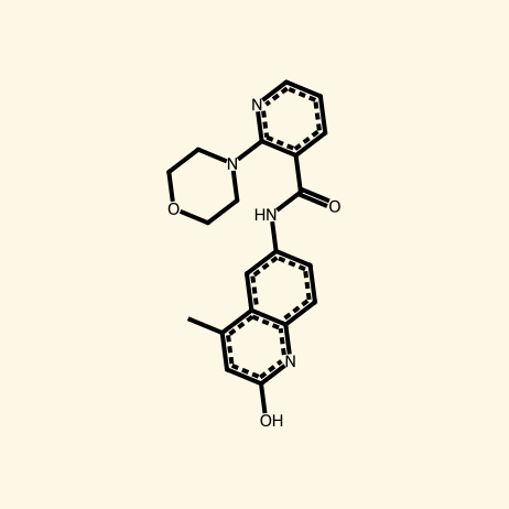 Cc1cc(O)nc2ccc(NC(=O)c3cccnc3N3CCOCC3)cc12